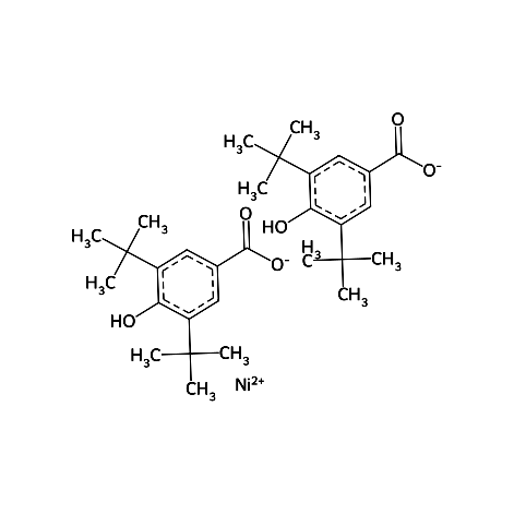 CC(C)(C)c1cc(C(=O)[O-])cc(C(C)(C)C)c1O.CC(C)(C)c1cc(C(=O)[O-])cc(C(C)(C)C)c1O.[Ni+2]